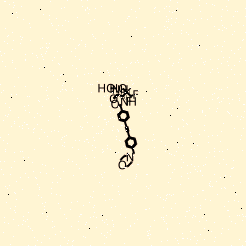 C[C@@](O)(C(F)F)[C@H](NC(=O)c1ccc(C#Cc2ccc(CN3CCOCC3)cc2)cc1)C(=O)NO